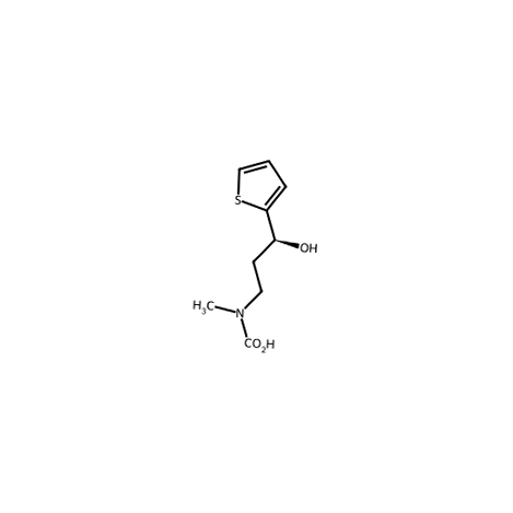 CN(CC[C@H](O)c1cccs1)C(=O)O